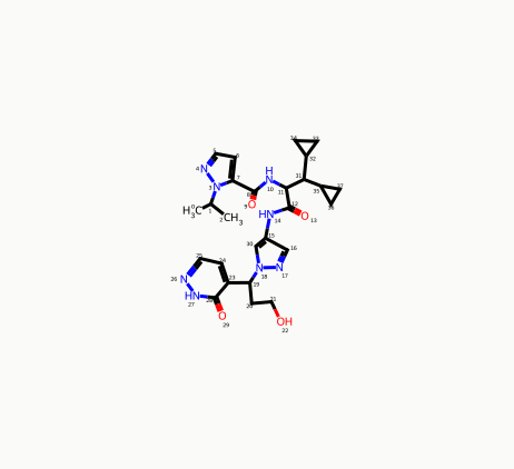 CC(C)n1nccc1C(=O)NC(C(=O)Nc1cnn(C(CCO)c2ccn[nH]c2=O)c1)C(C1CC1)C1CC1